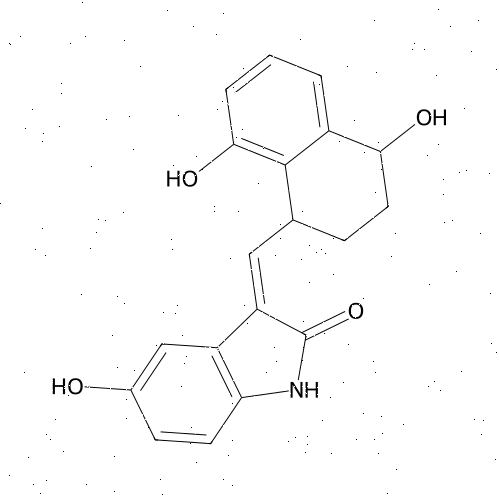 O=C1Nc2ccc(O)cc2C1=CC1CCC(O)c2cccc(O)c21